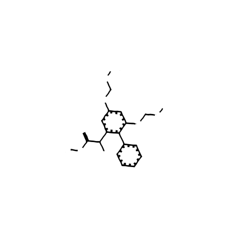 COCOc1cc(OCOC)c(-c2ccccc2)c(C(I)C(=O)OC)c1